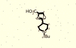 CC(C)(C)N1CCC(c2nc(C(=O)O)co2)CC1